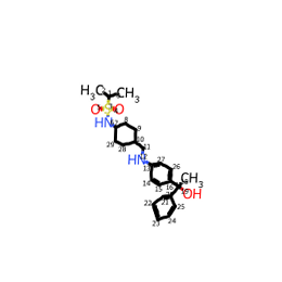 CC(C)S(=O)(=O)NC1CCC(CNc2ccc(C(C)(O)c3ccccc3)cc2)CC1